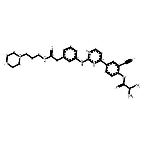 CC(C)C(=O)Nc1ccc(-c2ccnc(Nc3cccc(CC(=O)NCCCN4CCOCC4)c3)n2)cc1C#N